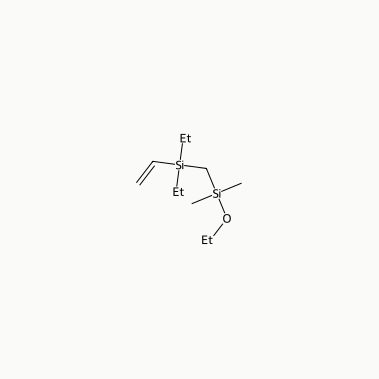 C=C[Si](CC)(CC)C[Si](C)(C)OCC